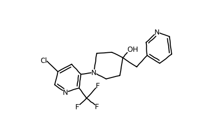 OC1(Cc2cccnc2)CCN(c2cc(Cl)cnc2C(F)(F)F)CC1